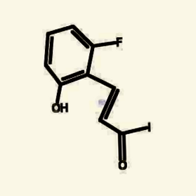 O=C(I)/C=C/c1c(O)cccc1F